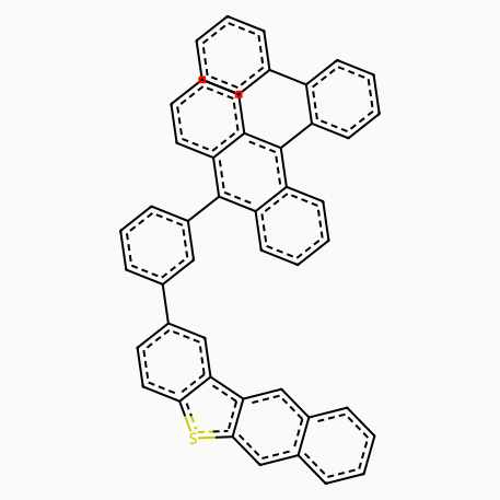 c1ccc(-c2ccccc2-c2c3ccccc3c(-c3cccc(-c4ccc5sc6cc7ccccc7cc6c5c4)c3)c3ccccc23)cc1